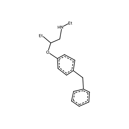 CCNCC(CC)Oc1ccc(Cc2ccccc2)cc1